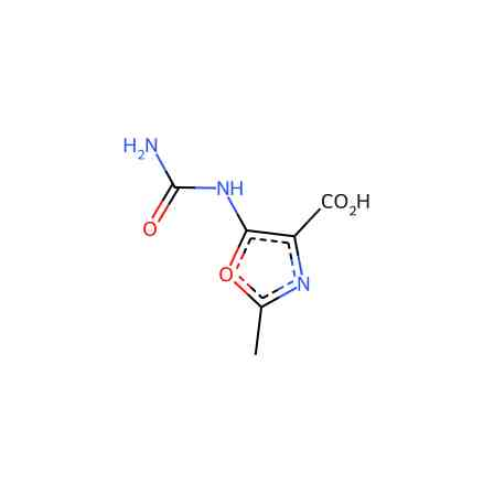 Cc1nc(C(=O)O)c(NC(N)=O)o1